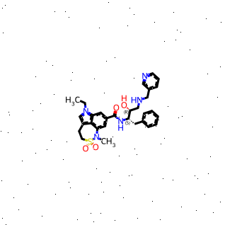 CCn1cc2c3c(cc(C(=O)N[C@@H](Cc4ccccc4)[C@H](O)CNCc4cccnc4)cc31)N(C)S(=O)(=O)CC2